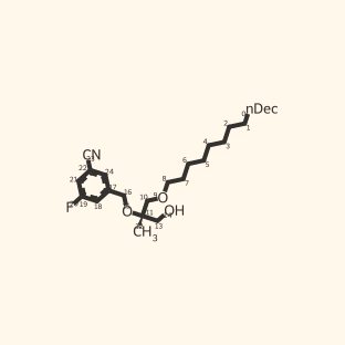 CCCCCCCCCCCCCCCCCCOC[C@](C)(CO)OCc1cc(F)cc(C#N)c1